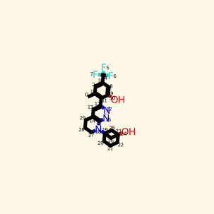 Cc1cc(C(F)(F)F)cc(O)c1-c1cc2c(nn1)N(C13CCCC(O)(C1)C3)CCC2